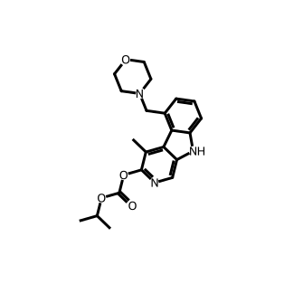 Cc1c(OC(=O)OC(C)C)ncc2[nH]c3cccc(CN4CCOCC4)c3c12